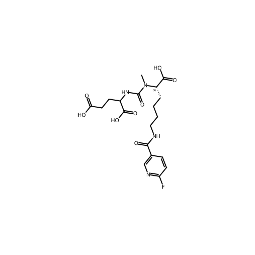 CN(C(=O)NC(CCC(=O)O)C(=O)O)[C@@H](CCCCNC(=O)c1ccc(F)nc1)C(=O)O